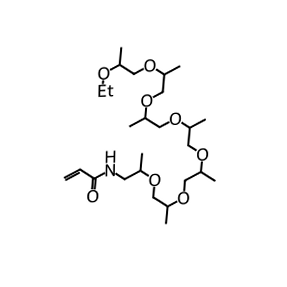 C=CC(=O)NCC(C)OCC(C)OCC(C)OCC(C)OCC(C)OCC(C)OCC(C)OCC